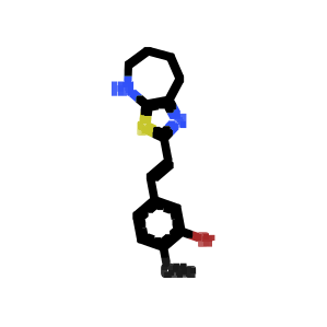 COc1ccc(C=Cc2nc3c(s2)NCCCC3)cc1Br